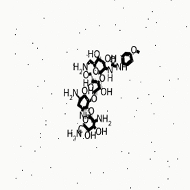 COc1ccc(NC(=O)NC2C(O)[C@H](O)C(CN)O[C@@H]2O[C@@H]2[C@H](O)[C@H](OC3C(O)[C@H](N)CC(N)[C@H]3O[C@H]3OC(CN)[C@@H](O)C(O)C3N)O[C@@H]2CO)cc1